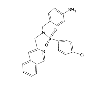 Nc1ccc(CN(Cc2cc3ccccc3cn2)S(=O)(=O)c2ccc(Cl)cc2)cc1